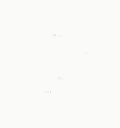 COc1cc(O)cc(/C=C/c2cccc(O)c2OC)c1